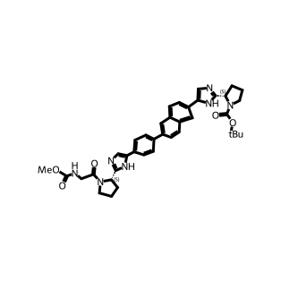 COC(=O)NCC(=O)N1CCC[C@H]1c1ncc(-c2ccc(-c3ccc4cc(-c5cnc([C@@H]6CCCN6C(=O)OC(C)(C)C)[nH]5)ccc4c3)cc2)[nH]1